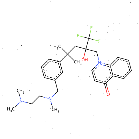 CN(C)CCN(C)Cc1cccc(C(C)(C)CC(O)(Cn2ccc(=O)c3ccccc32)C(F)(F)F)c1